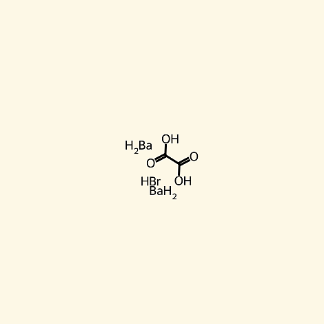 Br.O=C(O)C(=O)O.[BaH2].[BaH2]